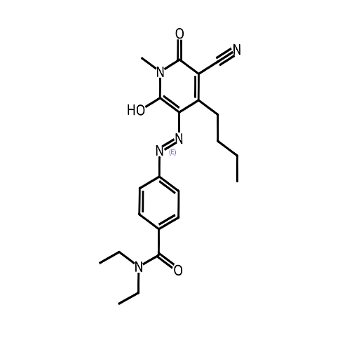 CCCCc1c(/N=N/c2ccc(C(=O)N(CC)CC)cc2)c(O)n(C)c(=O)c1C#N